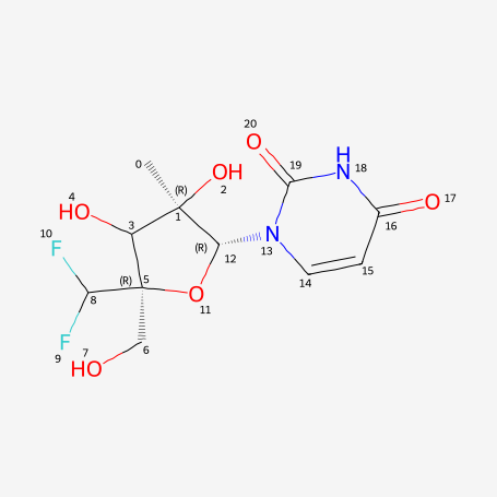 C[C@@]1(O)C(O)[C@](CO)(C(F)F)O[C@H]1n1ccc(=O)[nH]c1=O